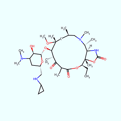 CC[C@H]1OC(=O)C(C)C(=O)[C@H](C)[C@@H](O[C@@H]2O[C@H](CNC3CC3)CC(N(C)C)[C@H]2O)[C@](C)(OC)C[C@@H](C)CN(C)[C@H](C)[C@H]2NC(=O)O[C@@]21C